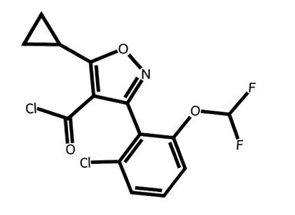 O=C(Cl)c1c(-c2c(Cl)cccc2OC(F)F)noc1C1CC1